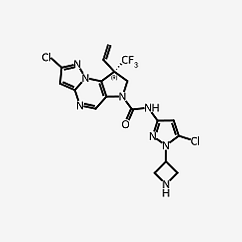 C=C[C@@]1(C(F)(F)F)CN(C(=O)Nc2cc(Cl)n(C3CNC3)n2)c2cnc3cc(Cl)nn3c21